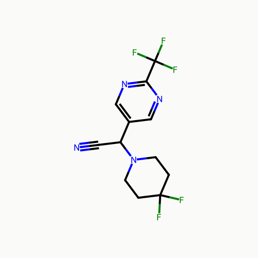 N#CC(c1cnc(C(F)(F)F)nc1)N1CCC(F)(F)CC1